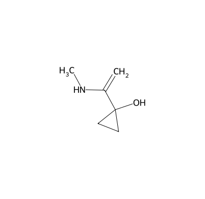 C=C(NC)C1(O)CC1